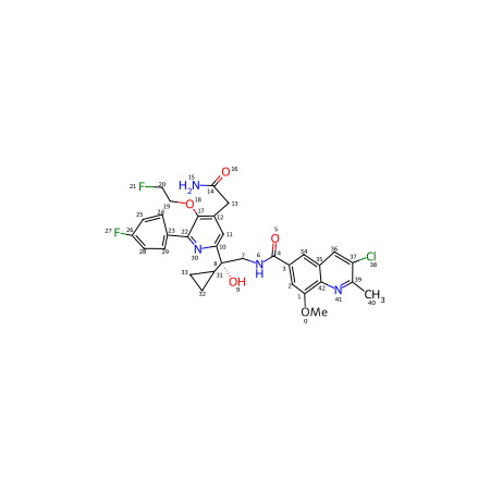 COc1cc(C(=O)NC[C@](O)(c2cc(CC(N)=O)c(OCCF)c(-c3ccc(F)cc3)n2)C2CC2)cc2cc(Cl)c(C)nc12